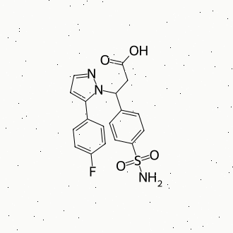 NS(=O)(=O)c1ccc(C(CC(=O)O)n2nccc2-c2ccc(F)cc2)cc1